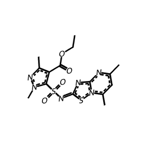 CCOC(=O)c1c(C)nn(C)c1S(=O)(=O)N=c1nc2nc(C)cc(C)n2s1